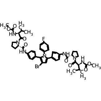 COC(=O)N[C@H](C(=O)N1CCC[C@H]1C(=O)Nc1ccc(-c2cc(Br)c(-c3ccc(NC(=O)[C@@H]4CCCN4C(=O)[C@@H](NC(=O)OC)C(C)C)cc3)n2-c2ccc(F)cc2)cc1)C(C)C